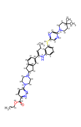 CC/C=C(\Nc1cccc(Sc2cnc(N3CCC(C)(C)CC3)cn2)c1)c1ccc2c(c1)CC(N1CCN(c3ccc(C(=O)OCC)nn3)CC1)C2